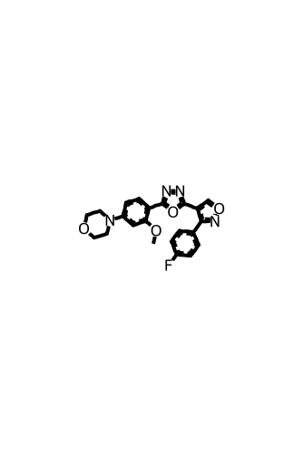 COc1cc(N2CCOCC2)ccc1-c1nnc(-c2conc2-c2ccc(F)cc2)o1